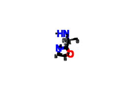 C[C@H]([NH])c1ncco1